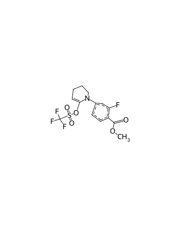 COC(=O)c1ccc(N2CCCC=C2OS(=O)(=O)C(F)(F)F)cc1F